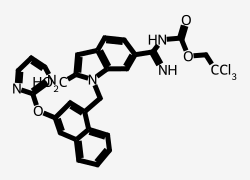 N=C(NC(=O)OCC(Cl)(Cl)Cl)c1ccc2cc(C(=O)O)n(Cc3cc(Oc4ncccn4)cc4ccccc34)c2c1